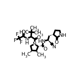 C[C@@H]1[C@@H](C(=O)N[C@H](C#N)C[C@@H]2CCNC2=O)N(C(=O)C(NC(=O)C(F)(F)F)C(C)(C)C)C[C@@H]1C